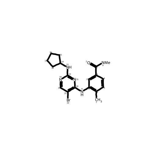 CNC(=O)c1ccc(C)c(Nc2nc(NC3CCCC3)ncc2Br)c1